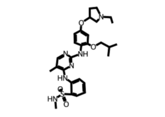 CCN1CCC(Oc2ccc(Nc3ncc(C)c(Nc4ccccc4S(=O)(=O)NC)n3)c(OCC(C)C)c2)C1